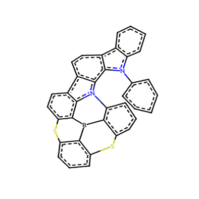 c1ccc(-n2c3ccccc3c3ccc4c5ccc6c7c5n(c4c32)-c2cccc3c2B7c2c(cccc2S6)S3)cc1